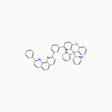 C1=CCNC(C2(C3C=CC=CN3)c3ccccc3Oc3ccc(-c4cccc(-c5ccc6ccc7ccc(-c8ccccc8)nc7c6n5)c4)cc32)=C1